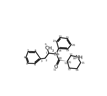 CC(Cc1ccccc1)N(C(=O)[C@H]1CCCNC1)c1ccccc1